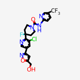 O=C(Nc1ccc(C(F)(F)F)cn1)N1CCC(F)(c2ncc(-c3cc(CO)on3)cc2Cl)CC1